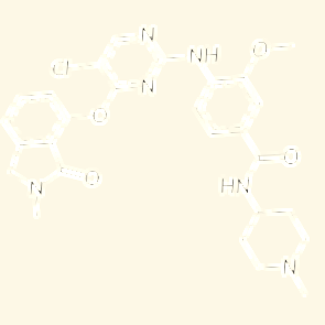 COc1cc(C(=O)NC2CCN(C)CC2)ccc1Nc1ncc(Cl)c(Oc2cccc3c2C(=O)N(C)C3)n1